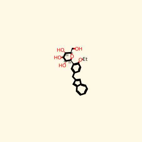 CCOc1ccc(Cc2cc3cccccc-3c2)cc1[C@@H]1O[C@H](CO)[C@@H](O)[C@H](O)[C@H]1O